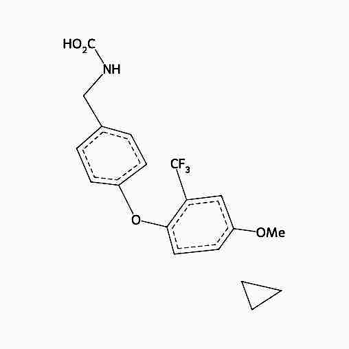 C1CC1.COc1ccc(Oc2ccc(CNC(=O)O)cc2)c(C(F)(F)F)c1